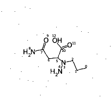 CCCN(N)C(CC(N)=O)C(=O)O